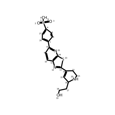 CS(=O)(=O)c1ccc(-c2ccc3nc(C4=CC(CCO)NCC4)sc3n2)cc1